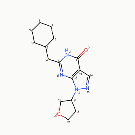 O=c1[nH]c(CC2CCCCC2)nc2c1cnn2C1CCOC1